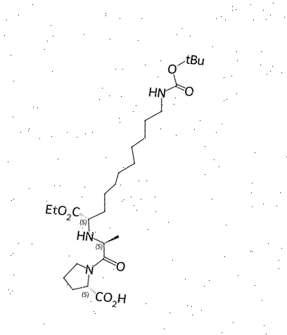 CCOC(=O)[C@H](CCCCCCCCCNC(=O)OC(C)(C)C)N[C@@H](C)C(=O)N1CCC[C@H]1C(=O)O